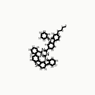 CCCCc1ccc2c3ccc(-c4nc(-c5ccccc5)nc(-n5c6ccccc6c6ccc7sc8ccccc8c7c65)n4)cc3n(-c3ccccc3)c2c1